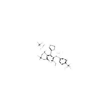 CCc1nc2c(c(C3=CCCC3)c1[C@H](O)c1ccc(C(F)(F)F)cc1)C(O[Si](C)(C)C(C)(C)C)CC(C)(C)C2